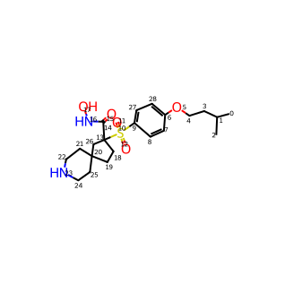 CC(C)CCOc1ccc(S(=O)(=O)C2(C(=O)NO)CCC3(CCNCC3)C2)cc1